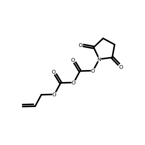 C=CCOC(=O)OC(=O)ON1C(=O)CCC1=O